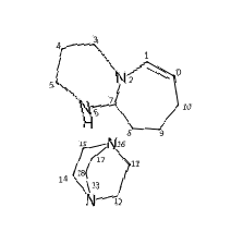 C1=CN2CCCNC2CCC1.C1CN2CCN1CC2